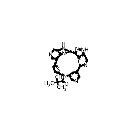 CC(C)(C)C(=O)n1c2cncc(c2)c2cc3c(cn2)[nH]nc3c2nc3c(cncc3c3ccc1s3)[nH]2